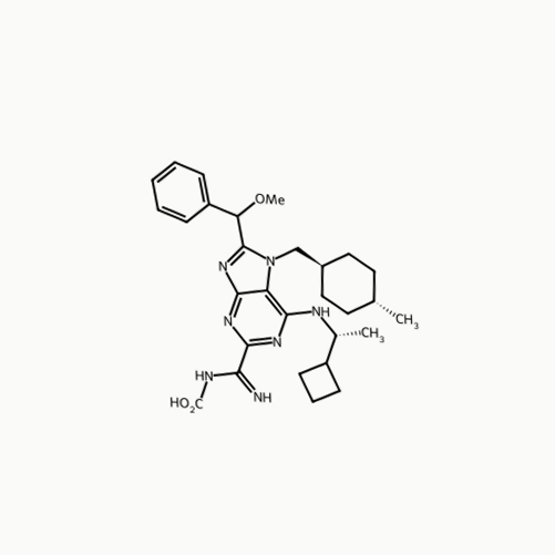 COC(c1ccccc1)c1nc2nc(C(=N)NC(=O)O)nc(N[C@H](C)C3CCC3)c2n1C[C@H]1CC[C@H](C)CC1